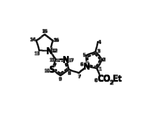 CCOC(=O)c1cc(C)cn1Cc1csc(N2CCCC2)n1